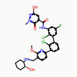 COc1nc(-c2cccc(-c3cc(F)cc(NC(=O)c4cc(O)nn(C)c4=O)c3Cl)c2Cl)ccc1CNC1CCCC[C@@H]1O